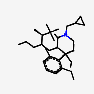 CCCC(CC1C(C)N(CC2CC2)CCC1(CC)c1c(C)cccc1CC)[C@@H](C)C(C)(C)C